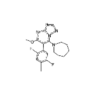 COc1nc2ncnn2c(N2CCCCCC2)c1-c1cc(F)c(C)cc1F